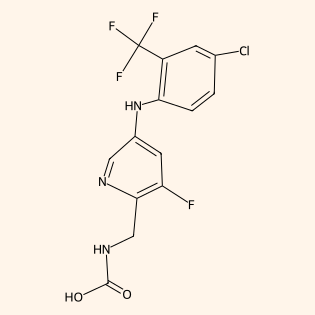 O=C(O)NCc1ncc(Nc2ccc(Cl)cc2C(F)(F)F)cc1F